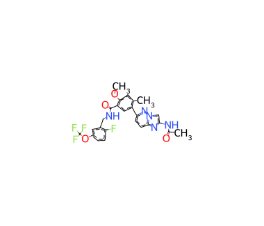 COc1cc(C)c(-c2ccc3nc(NC(C)=O)cn3n2)cc1C(=O)NCc1cc(OC(F)(F)F)ccc1F